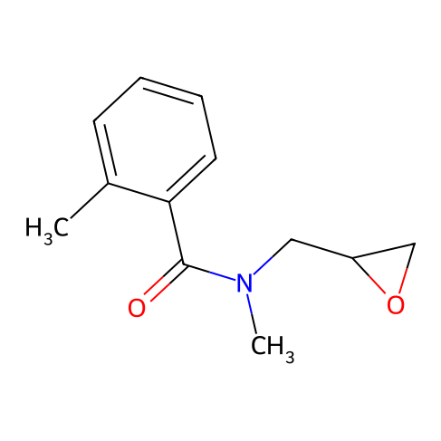 Cc1ccccc1C(=O)N(C)CC1CO1